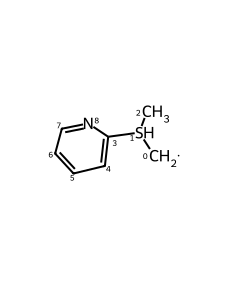 [CH2][SH](C)c1ccccn1